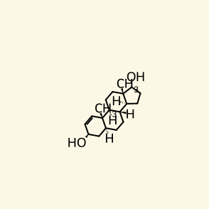 C[C@]12C=C[C@H](O)C[C@@H]1CC[C@@H]1[C@@H]2CC[C@]2(C)[C@H](O)CC[C@@H]12